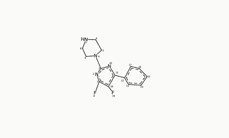 Fc1nc(N2CCNCC2)nc(-c2ccccc2)c1F